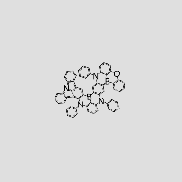 c1ccc(N2c3cc4c(cc3B3c5ccccc5Oc5cccc2c53)N(c2ccccc2)c2cccc3c2B4c2cc4c5ccccc5n5c6ccccc6c(c2N3c2ccccc2)c45)cc1